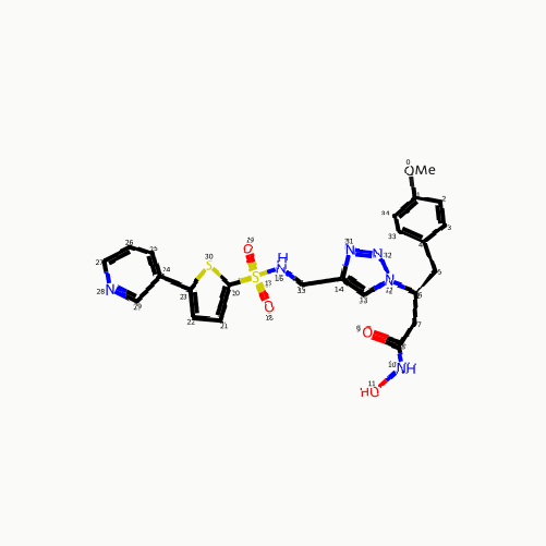 COc1ccc(C[C@@H](CC(=O)NO)n2cc(CNS(=O)(=O)c3ccc(-c4cccnc4)s3)nn2)cc1